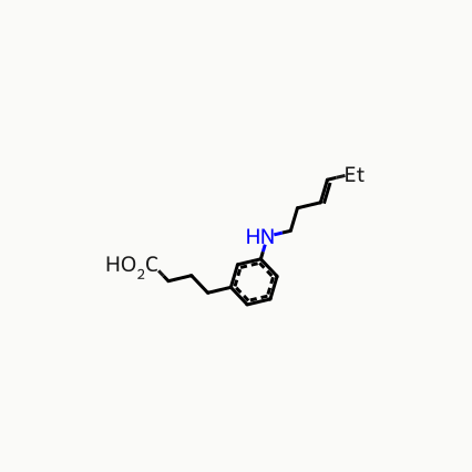 CC/C=C/CCNc1cccc(CCCC(=O)O)c1